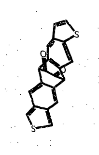 O=C1C(=O)C2c3cc4cscc4cc3C1c1cc3ccsc3cc12